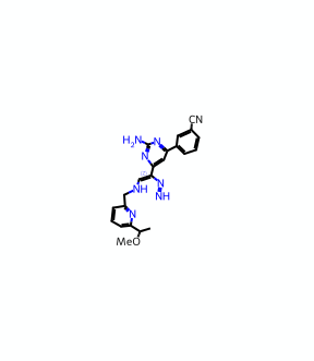 COC(C)c1cccc(CN/C=C(\N=N)c2cc(-c3cccc(C#N)c3)nc(N)n2)n1